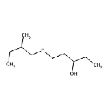 CCC(C)COCCC(O)CC